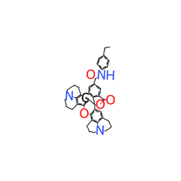 CCc1ccc(NC(=O)c2ccc3c(c2)C(=O)OC32c3cc4c5c(c3Oc3c2cc2c6c3CCCN6CCC2)CCCN5CCC4)cc1